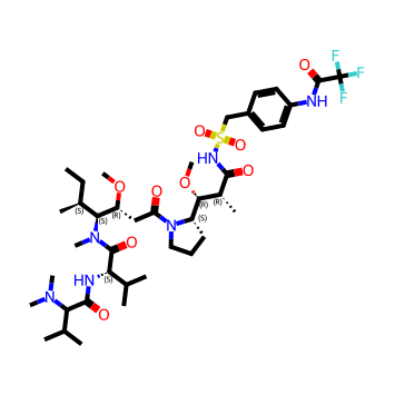 CC[C@H](C)[C@@H]([C@@H](CC(=O)N1CCC[C@H]1[C@H](OC)[C@@H](C)C(=O)NS(=O)(=O)Cc1ccc(NC(=O)C(F)(F)F)cc1)OC)N(C)C(=O)[C@@H](NC(=O)C(C(C)C)N(C)C)C(C)C